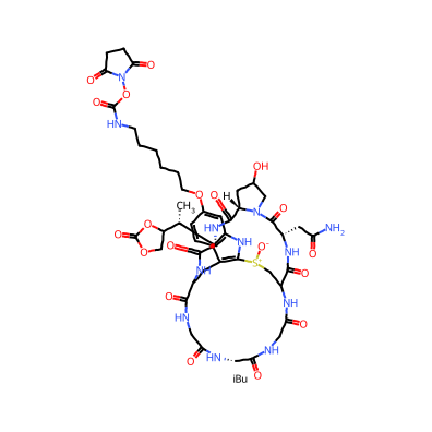 CC[C@H](C)[C@@H]1NC(=O)CNC(=O)C2Cc3c([nH]c4cc(OCCCCCCNC(=O)ON5C(=O)CCC5=O)ccc34)[S+]([O-])CC(NC(=O)CNC1=O)C(=O)N[C@@H](CC(N)=O)C(=O)N1CC(O)C[C@H]1C(=O)N[C@@H]([C@@H](C)C1COC(=O)O1)C(=O)N2